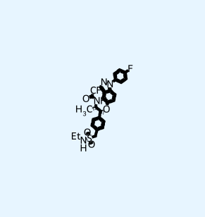 CCNS(=O)(=O)Cc1ccc([C@@H](Oc2ccc3c(cnn3-c3ccc(F)cc3)c2)[C@H](C)NC(=O)C(F)(F)F)cc1